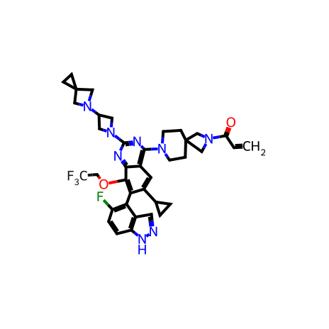 C=CC(=O)N1CC2(CCN(c3nc(N4CC(N5CC6(CC6)C5)C4)nc4c(OCC(F)(F)F)c(-c5c(F)ccc6[nH]ncc56)c(C5CC5)cc34)CC2)C1